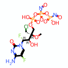 CO[C@](CCl)(COP(=O)(O)OP(=O)(N=O)OP(=O)(O)N=O)[C@@H](O)[C@@H](F)n1cc(F)c(N)nc1=O